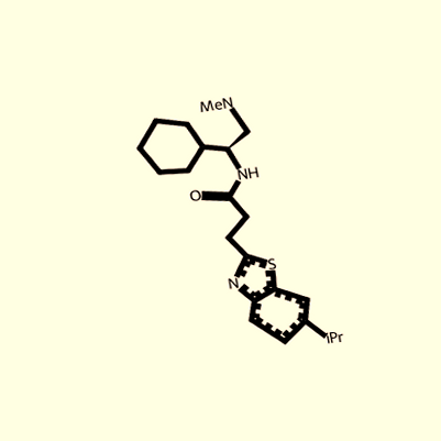 CNC[C@@H](NC(=O)CCc1nc2ccc(C(C)C)cc2s1)C1CCCCC1